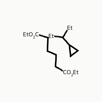 CCC(CC)C1CC1.CCOC(=O)CCCCC(=O)OCC